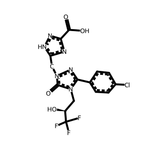 O=C(O)c1n[nH]c(Cn2nc(-c3ccc(Cl)cc3)n(C[C@H](O)C(F)(F)F)c2=O)n1